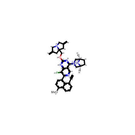 C#Cc1cccc2c(OC)ccc(-c3ncc4c(N5C[C@H]6CC[C@@H](C5)N6C(=O)O)nc(OCC56CC(=C)CN5CC(=C)C6)nc4c3F)c12